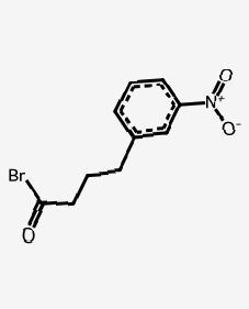 O=C(Br)CCCc1cccc([N+](=O)[O-])c1